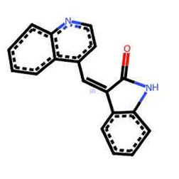 O=C1Nc2ccccc2/C1=C/c1ccnc2ccccc12